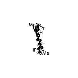 COC(=O)N[C@H](C(=O)N1CCCC1c1ncc(C2CSc3c(-c4ccc5[nH]c(C6CCCN6C(=O)[C@H](NC(=O)OC)C(C)C)nc5c4)csc32)[nH]1)C(C)C